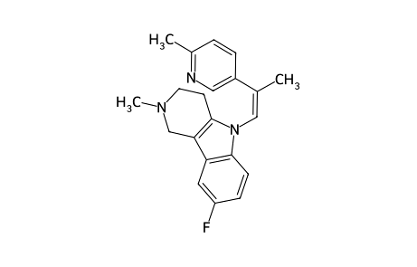 C/C(=C/n1c2c(c3cc(F)ccc31)CN(C)CC2)c1ccc(C)nc1